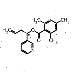 C=CC[C@@H](OC(=O)c1c(C)cc(C)cc1C)c1cccnc1